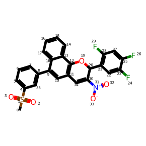 CS(=O)(=O)c1cccc(-c2cc3c(c4ccccc24)OC(c2cc(F)c(F)cc2F)C([N+](=O)[O-])=C3)c1